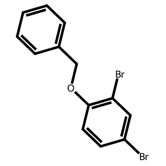 Brc1ccc(OCc2ccccc2)c(Br)c1